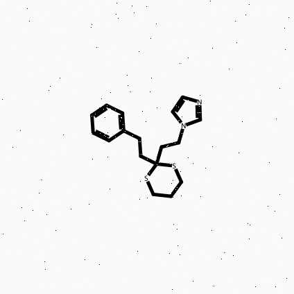 c1ccc(CCC2(CCn3ccnc3)SCCCS2)cc1